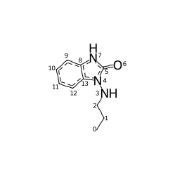 CCCNn1c(=O)[nH]c2ccccc21